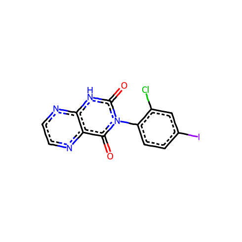 O=c1[nH]c2nccnc2c(=O)n1-c1ccc(I)cc1Cl